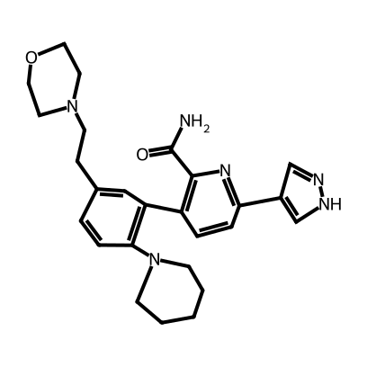 NC(=O)c1nc(-c2cn[nH]c2)ccc1-c1cc(CCN2CCOCC2)ccc1N1CCCCC1